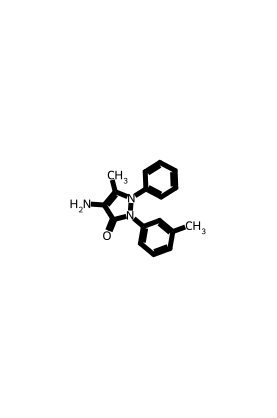 Cc1cccc(-n2c(=O)c(N)c(C)n2-c2ccccc2)c1